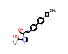 C[C@H](O)c1nccn1C(/C=C/c1ccc(-c2ccc([C@H]3C[C@@H](C)C3)cc2)cc1)CO